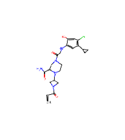 C=CC(=O)N1CC(N2CCN(C(=O)CNc3cc(C4CC4)c(Cl)cc3O)CC2C(N)=O)C1